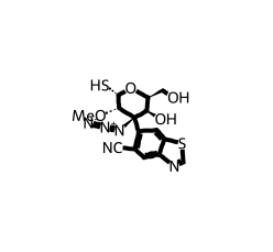 CO[C@@H]1[C@H](S)O[C@@H](CO)[C@@H](O)[C@]1(N=[N+]=[N-])c1cc2scnc2cc1C#N